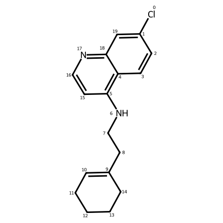 Clc1ccc2c(NCCC3=CCCCC3)ccnc2c1